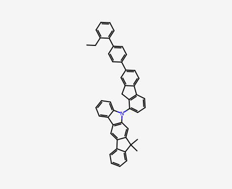 CCc1ccccc1-c1ccc(-c2ccc3c(c2)Cc2c-3cccc2-n2c3ccccc3c3cc4c(cc32)C(C)(C)c2ccccc2-4)cc1